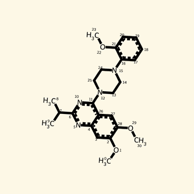 COc1cc2nc(C(C)C)nc(N3CCN(c4ccccc4OC)CC3)c2cc1OC